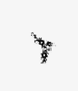 COCCNC(=O)c1ccc2c(c1)nc(Nc1nc3ccc(OC(F)(F)F)cc3s1)n2C1CCNC1